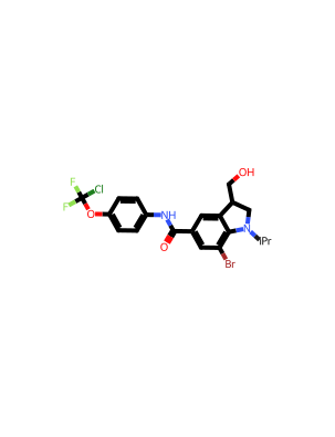 CC(C)N1CC(CO)c2cc(C(=O)Nc3ccc(OC(F)(F)Cl)cc3)cc(Br)c21